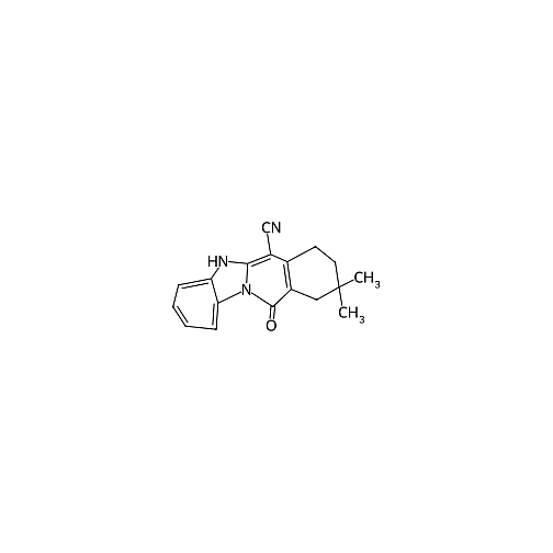 CC1(C)CCc2c(c(=O)n3c([nH]c4ccccc43)c2C#N)C1